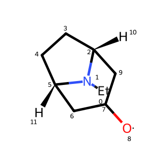 CCN1[C@@H]2CC[C@H]1CC([O])C2